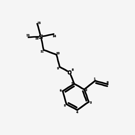 C=Cc1ccccc1OCCC[Si](C)(C)C